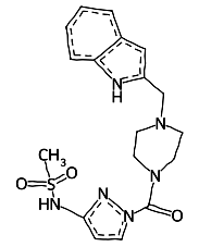 CS(=O)(=O)Nc1ccn(C(=O)N2CCN(Cc3cc4ccccc4[nH]3)CC2)n1